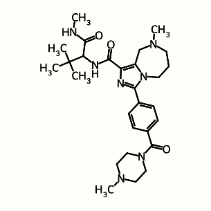 CNC(=O)C(NC(=O)c1nc(-c2ccc(C(=O)N3CCN(C)CC3)cc2)n2c1CN(C)CCC2)C(C)(C)C